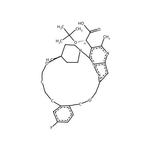 Cc1nc2cc3nn2c(c1[C@H](OC(C)(C)C)C(=O)O)N1CCC(C)(CC1)OCCCCc1cc(F)ccc1COC3